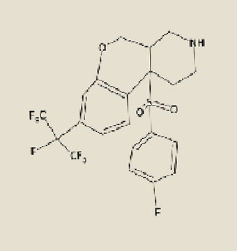 O=S(=O)(c1ccc(F)cc1)C12CCNCC1COc1cc(C(F)(C(F)(F)F)C(F)(F)F)ccc12